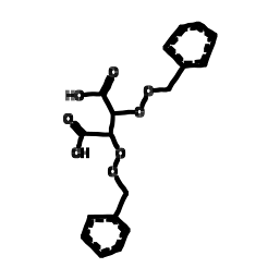 O=C(O)C(OOCc1ccccc1)C(OOCc1ccccc1)C(=O)O